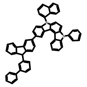 c1ccc(-c2cccc(C3c4ccccc4-c4cc(-c5ccc6c(c5)c5c7c8ccccc8n(-c8ccccc8)c7ccc5n6-c5cccc6ccccc56)ccc43)c2)cc1